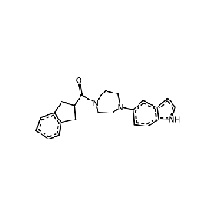 O=C(C1Cc2ccccc2C1)N1CCN(c2ccc3[nH]ccc3c2)CC1